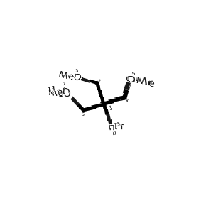 CCCC(COC)(COC)COC